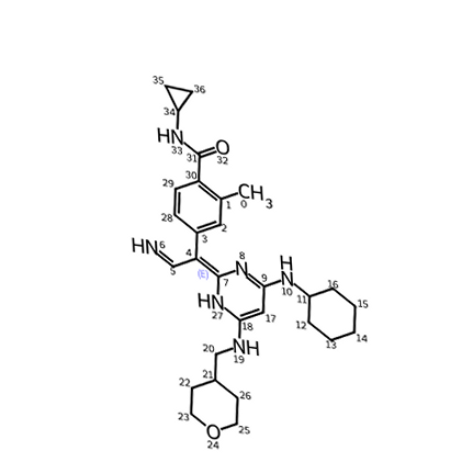 Cc1cc(/C(C=N)=C2\N=C(NC3CCCCC3)C=C(NCC3CCOCC3)N2)ccc1C(=O)NC1CC1